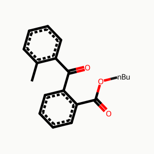 CCCCOC(=O)c1ccccc1C(=O)c1ccccc1C